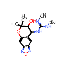 CC(C)(C)NC(=NC#N)NC1c2cc3nonc3cc2OC(C)(C)C1O